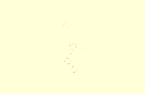 Cc1c(-c2ccc3c(c2)OCCO3)cccc1-c1nc2cc3c(c(C#N)c2o1)CC[C@H]3NCCC(=O)NS(=O)(=O)C1CC1